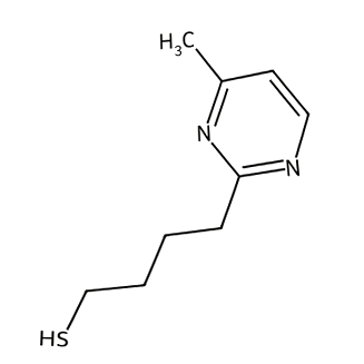 Cc1ccnc(CCCCS)n1